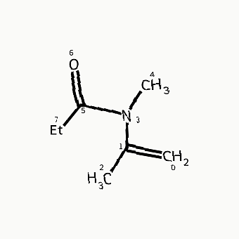 C=C(C)N(C)C(=O)CC